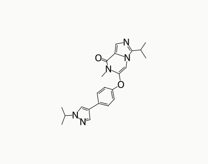 CC(C)c1ncc2c(=O)n(C)c(Oc3ccc(-c4cnn(C(C)C)c4)cc3)cn12